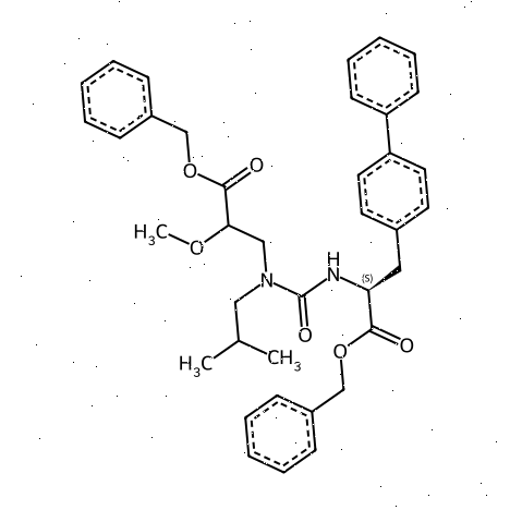 COC(CN(CC(C)C)C(=O)N[C@@H](Cc1ccc(-c2ccccc2)cc1)C(=O)OCc1ccccc1)C(=O)OCc1ccccc1